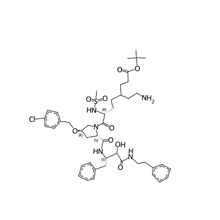 CC(C)(C)OC(=O)CCC(CCN)CC[C@@H](NS(C)(=O)=O)C(=O)N1C[C@H](OCc2ccc(Cl)cc2)C[C@H]1C(=O)N[C@@H](Cc1ccccc1)C(O)C(=O)NCCc1ccccc1